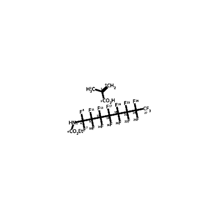 C=C(C)C(=O)O.CCOC(=O)NC(F)(F)C(F)(F)C(F)(F)C(F)(F)C(F)(F)C(F)(F)C(F)(F)C(F)(F)F